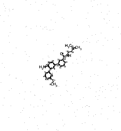 CSc1nccc(-c2cc(-c3cccc(C(=O)NCCN(C)C)c3)cnc2N)n1